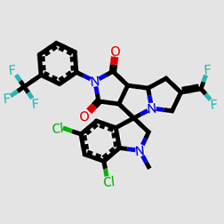 CN1CC2(c3cc(Cl)cc(Cl)c31)C1C(=O)N(c3cccc(C(F)(F)F)c3)C(=O)C1C1CC(=C(F)F)CN12